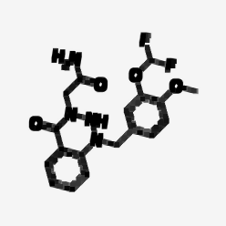 COc1ccc(CN2NN(CC(N)=O)C(=O)c3ccccc32)cc1OC(F)F